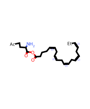 CC/C=C\C/C=C\C/C=C\C/C=C\C/C=C\CCCC(=O)OC(=O)C(N)CCC(C)=O